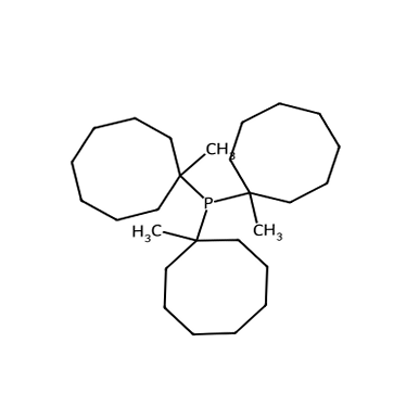 CC1(P(C2(C)CCCCCCC2)C2(C)CCCCCCC2)CCCCCCC1